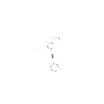 CC(=O)Nc1nc(C)c(C#Cc2cccnc2)s1